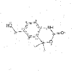 CC1(C)OC(=O)Nc2ccc(CO)cc21